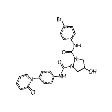 O=C(Nc1ccc(Br)cc1)N1CC(O)CN1C(=O)Nc1ccc(-n2ccccc2=O)cc1